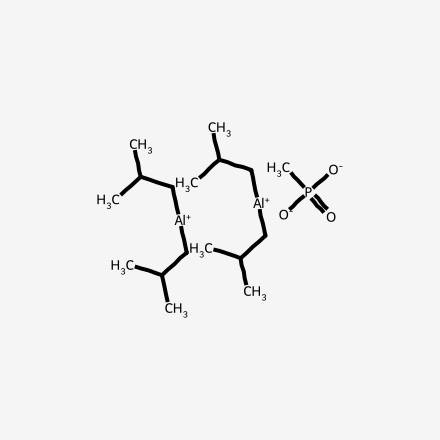 CC(C)[CH2][Al+][CH2]C(C)C.CC(C)[CH2][Al+][CH2]C(C)C.CP(=O)([O-])[O-]